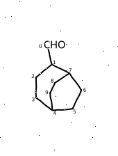 O=[C]C1CCC2CCC1CC2